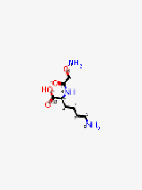 NCCCC[C@H](NC(=O)CON)C(=O)O